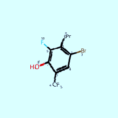 CC(C)c1c(Br)cc(C(F)(F)F)c(O)c1F